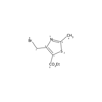 CCOC(=O)c1sc(C)nc1CBr